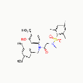 Cc1cc(C)c(S(=O)(=O)N(C)CC(=O)N(Cc2cc(C(C)(C)C)cc(C(C)(C)C)c2)c2ccc(C(=O)O)c(O)c2)c(C)c1